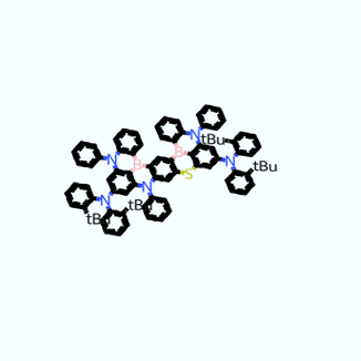 CC(C)(C)c1ccccc1N(c1cc2c3c(c1)N(c1ccccc1)c1ccccc1B3c1cc3c(cc1S2)N(c1ccccc1)c1cc(N(c2ccccc2C(C)(C)C)c2ccccc2C(C)(C)C)cc2c1B3c1ccccc1N2c1ccccc1)c1ccccc1C(C)(C)C